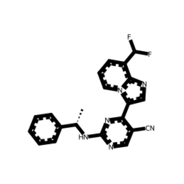 C[C@H](Nc1ncc(C#N)c(-c2cnc3c(C(F)F)cccn23)n1)c1ccccc1